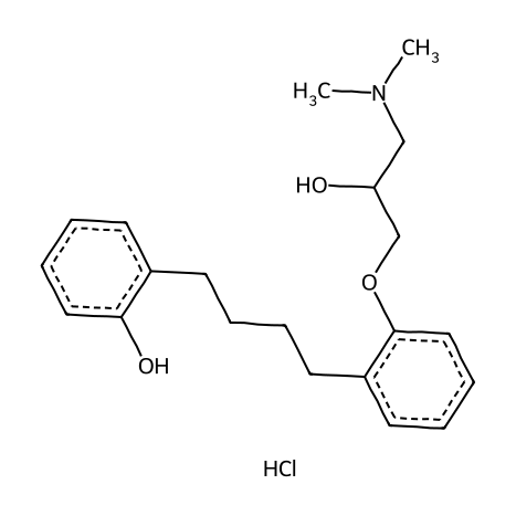 CN(C)CC(O)COc1ccccc1CCCCc1ccccc1O.Cl